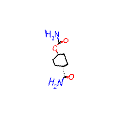 NC(=O)O[C@H]1CC[C@H](C(N)=O)CC1